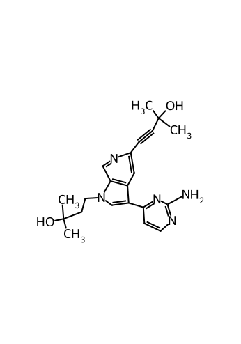 CC(C)(O)C#Cc1cc2c(-c3ccnc(N)n3)cn(CCC(C)(C)O)c2cn1